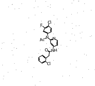 CC(=O)N(c1ccc(Cl)c(F)c1)c1cc(NC(=O)Cc2ccccc2Cl)ccn1